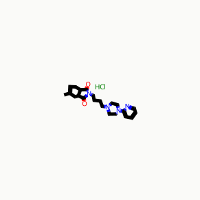 CC1=CCC2C(=O)N(CCCCN3CCN(c4ccccn4)CC3)C(=O)C2C1.Cl